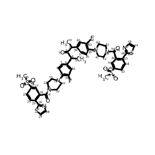 CC(C(=O)C(C)c1ccc(N2CCN(C(=O)c3cc(S(C)(=O)=O)ccc3-c3nccs3)CC2)c(F)c1)c1ccc(N2CCN(C(=O)c3cc(S(C)(=O)=O)ccc3-c3nccs3)CC2)c(F)c1